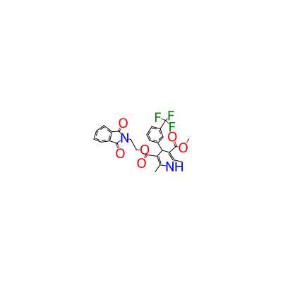 COC(=O)C1=C(C)NC(C)=C(C(=O)OCCN2C(=O)c3ccccc3C2=O)C1c1cccc(C(F)(F)F)c1